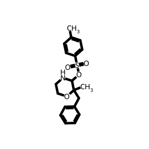 Cc1ccc(S(=O)(=O)OC2NCCOC2(C)Cc2ccccc2)cc1